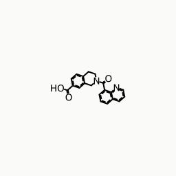 O=C(O)c1ccc2c(c1)CN(C(=O)c1cccc3cccnc13)CC2